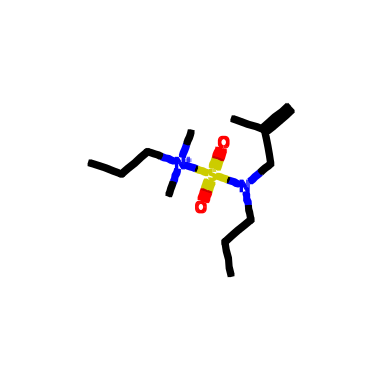 C=C(C)CN(CCC)S(=O)(=O)[N+](C)(C)CCC